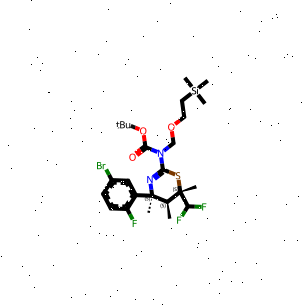 C[C@H]1[C@@](C)(c2cc(Br)ccc2F)N=C(N(COCC[Si](C)(C)C)C(=O)OC(C)(C)C)S[C@]1(C)C(F)F